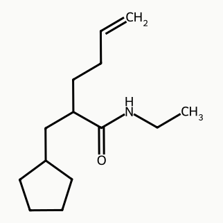 C=CCCC(CC1CCCC1)C(=O)NCC